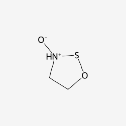 [O-][NH+]1CCOS1